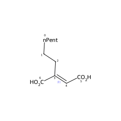 CCCCCCC/C(=C\C(=O)O)C(=O)O